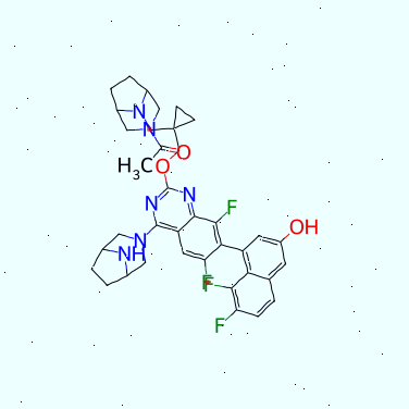 CC(=O)N1CC2CCC(C1)N2CC1(COc2nc(N3CC4CCC(C3)N4)c3cc(F)c(-c4cc(O)cc5ccc(F)c(F)c45)c(F)c3n2)CC1